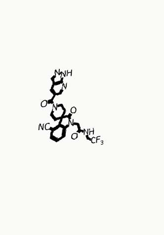 N#Cc1cccc2c1C1(CCN(C(=O)c3cnc4[nH]ncc4c3)CC1)C(=O)N2CC(=O)NCC(F)(F)F